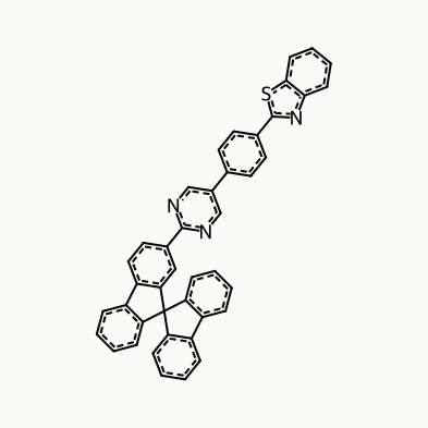 c1ccc2c(c1)-c1ccccc1C21c2ccccc2-c2ccc(-c3ncc(-c4ccc(-c5nc6ccccc6s5)cc4)cn3)cc21